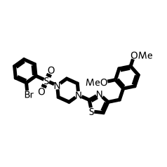 COc1ccc(Cc2csc(N3CCN(S(=O)(=O)c4ccccc4Br)CC3)n2)c(OC)c1